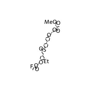 C=C(F)C(=O)OCCOc1ccc(/C=C/C(=O)Sc2ccc(-c3ccc(OCCCOC(=O)C(=C)CC(=O)OC)cc3)cc2)cc1CC